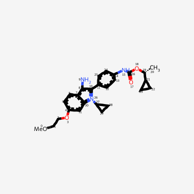 COCCOc1ccc2c(N)c(-c3ccc(NC(=O)O[C@H](C)C4CC4)cc3)n(C3CC3)c2c1